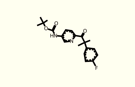 CC(C)(C)OC(=O)Nc1ccc(C(=O)C(C)(C)c2ccc(F)cc2)nc1